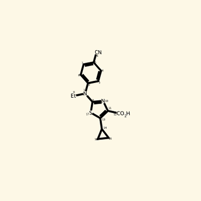 CCN(c1ccc(C#N)cc1)c1nc(C(=O)O)c(C2CC2)s1